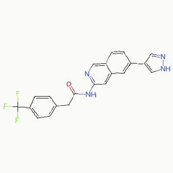 O=C(Cc1ccc(C(F)(F)F)cc1)Nc1cc2cc(-c3cn[nH]c3)ccc2cn1